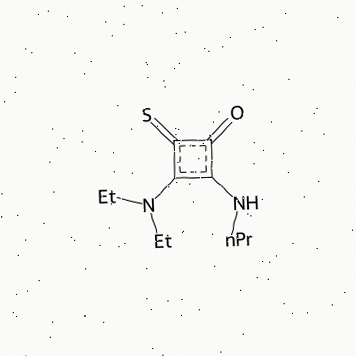 CCCNc1c(N(CC)CC)c(=S)c1=O